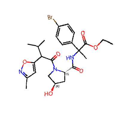 CCOC(=O)C(C)(NC(=O)[C@@H]1C[C@@H](O)CN1C(=O)C(c1cc(C)no1)C(C)C)c1ccc(Br)cc1